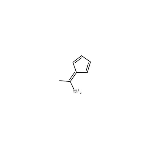 CC(N)=C1C=CC=C1